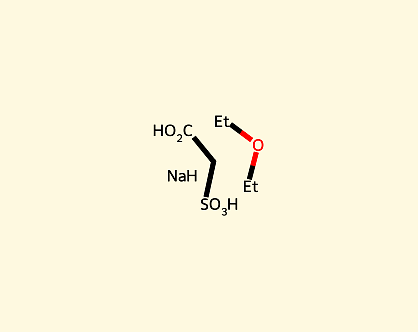 CCOCC.O=C(O)CS(=O)(=O)O.[NaH]